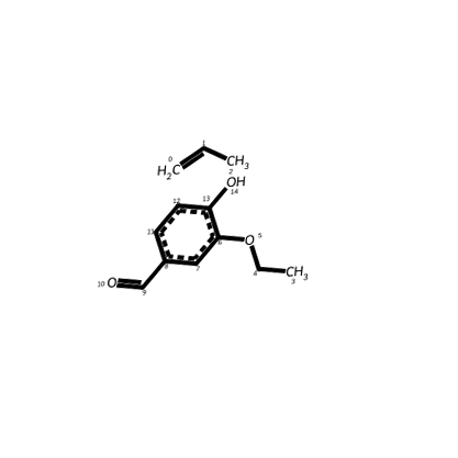 C=CC.CCOc1cc(C=O)ccc1O